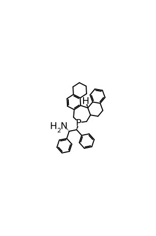 N[C@@H](c1ccccc1)[C@H](c1ccccc1)P1Cc2ccc3c(c2[C@@H]2c4ccccc4CCC2C1)CCCC3